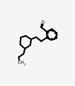 CCCC1CCCC(CCc2ccccc2C=O)C1